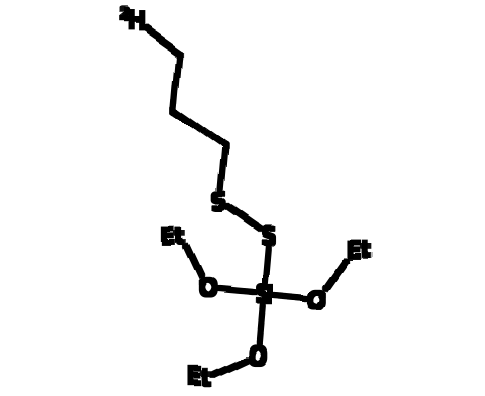 [2H]CCCSS[Si](OCC)(OCC)OCC